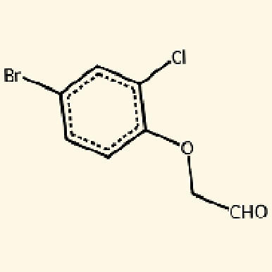 O=CCOc1ccc(Br)cc1Cl